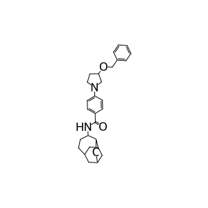 O=C(NC1CCC2CC3CC(C2)C1C3)c1ccc(N2CCC(OCc3ccccc3)C2)cc1